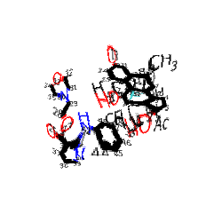 CC(=O)[C@@]1(O)CC[C@H]2[C@@H]3C[C@H](C)C4=CC(=O)C=C[C@]4(C)[C@@]3(F)[C@@H](O)C[C@@]21C.O=C(OCCN1CCOCC1)c1cccnc1Nc1cccc(C(F)(F)F)c1